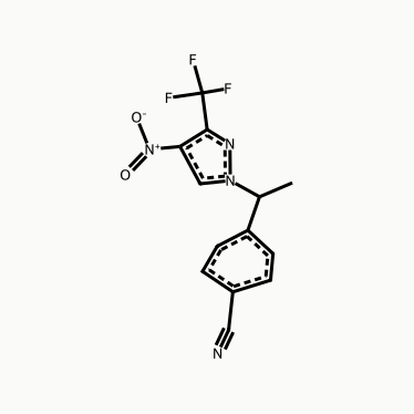 CC(c1ccc(C#N)cc1)n1cc([N+](=O)[O-])c(C(F)(F)F)n1